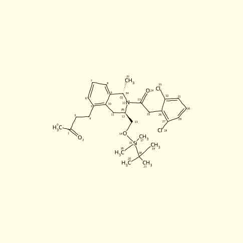 CC(=O)CCc1cccc2c1C[C@H](CO[Si](C)(C)C(C)(C)C)N(C(=O)Cc1c(Cl)cccc1Cl)[C@H]2C